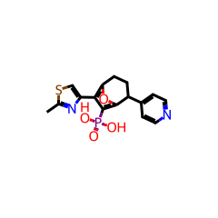 Cc1nc(-c2c3oc(c2P(=O)(O)O)C(c2ccncc2)CC3)cs1